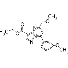 CCOC(=O)c1cnn2c(-c3cccc(OC)c3)cc(COC)nc12